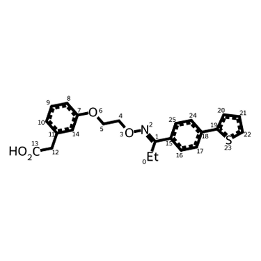 CC/C(=N\OCCOc1cccc(CC(=O)O)c1)c1ccc(-c2cccs2)cc1